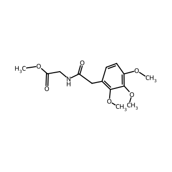 COC(=O)CNC(=O)Cc1ccc(OC)c(OC)c1OC